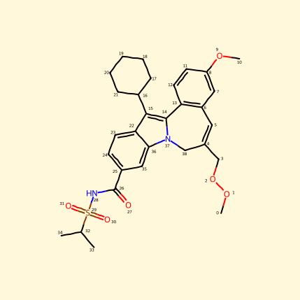 COOCC1=Cc2cc(OC)ccc2-c2c(C3CCCCC3)c3ccc(C(=O)NS(=O)(=O)C(C)C)cc3n2C1